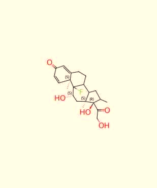 CC1CC2C3CCC4=CC(=O)C=C[C@]4(C)C3(F)[C@@H](O)C[C@]2(C)[C@@]1(O)C(=O)CO